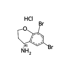 Cl.N[C@@H]1CCOc2c(Br)cc(Br)cc21